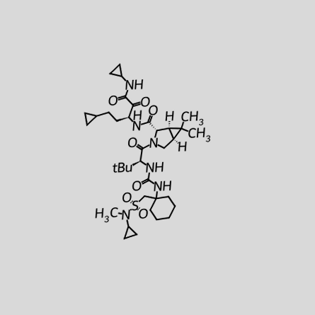 CN(C1CC1)S(=O)(=O)CC1(NC(=O)N[C@H](C(=O)N2C[C@H]3[C@@H]([C@H]2C(=O)N[C@@H](CCC2CC2)C(=O)C(=O)NC2CC2)C3(C)C)C(C)(C)C)CCCCC1